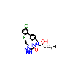 C=CCn1nnnc1C(=O)NN(Cc1ccc(-c2cc(Cl)ccc2F)cc1)C[C@@H](O)C(=O)O